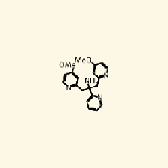 COc1ccnc(CC(N)(Cc2cc(OC)ccn2)c2ccccn2)c1